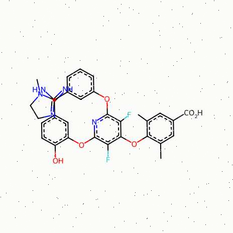 Cc1cc(C(=O)O)cc(C)c1Oc1c(F)c(Oc2cccc(C3=NCCN3C)c2)nc(Oc2cc(C(=N)N)ccc2O)c1F